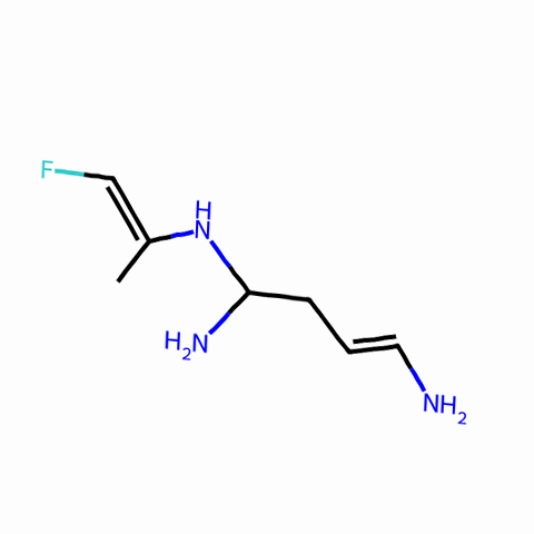 C/C(=C\F)NC(N)C/C=C/N